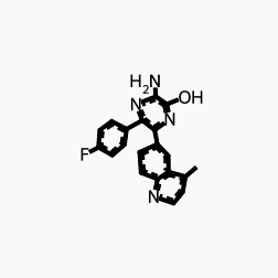 Cc1ccnc2ccc(-c3nc(O)c(N)nc3-c3ccc(F)cc3)cc12